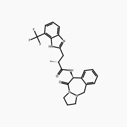 C[C@H](Cc1nc2cccc(C(F)(F)F)c2[nH]1)C(=O)N[C@@H]1C(=O)N2CCCN2Cc2ccccc21